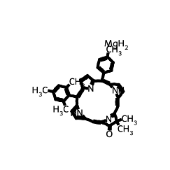 Cc1ccc(-c2c3nc(c(-c4c(C)cc(C)cc4C)c4ccc(cc5nc(cc6ccc2[nH]6)C(C)(C)C5=O)[nH]4)C=C3)cc1.[MgH2]